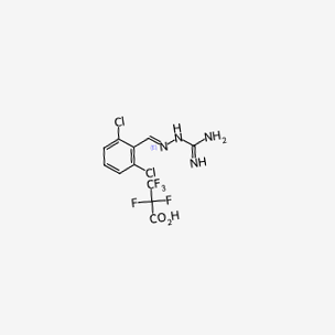 N=C(N)N/N=C/c1c(Cl)cccc1Cl.O=C(O)C(F)(F)C(F)(F)F